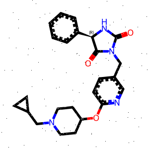 O=C1N[C@H](c2ccccc2)C(=O)N1Cc1ccc(OC2CCN(CC3CC3)CC2)nc1